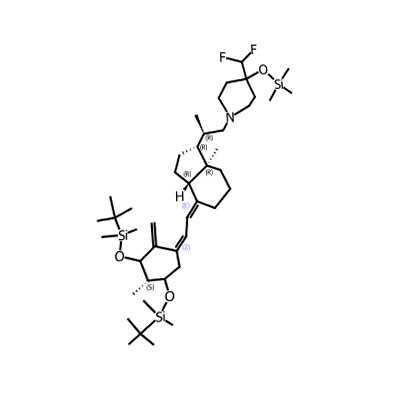 C=C1/C(=C\C=C2/CCC[C@]3(C)[C@@H]([C@@H](C)CN4CCC(O[Si](C)(C)C)(C(F)F)CC4)CC[C@@H]23)CC(O[Si](C)(C)C(C)(C)C)[C@H](C)C1O[Si](C)(C)C(C)(C)C